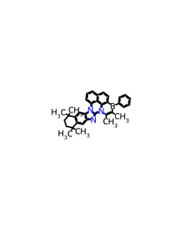 CC1=C(C)n2c3c(ccc4cccc(c43)n3c4cc5c(cc4nc23)C(C)(C)CCC5(C)C)B1c1ccccc1